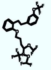 FC(F)OC(CCCOc1ccccc1CCc1cccc(OC(F)(F)F)c1)N(OC(F)F)C(F)(F)F